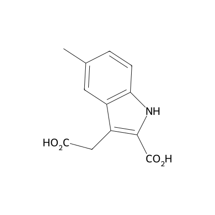 Cc1ccc2[nH]c(C(=O)O)c(CC(=O)O)c2c1